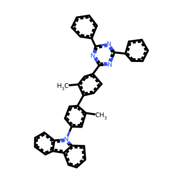 Cc1cc(-c2nc(-c3ccccc3)nc(-c3ccccc3)n2)ccc1-c1ccc(-n2c3ccccc3c3ccccc32)cc1C